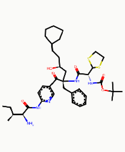 CC[C@H](C)[C@H](N)C(=O)Nc1ccc(C(=O)[C@](Cc2ccccc2)(C[C@@H](O)CCC2CCCCC2)NC(=O)[C@@H](NC(=O)OC(C)(C)C)C2SCCS2)cn1